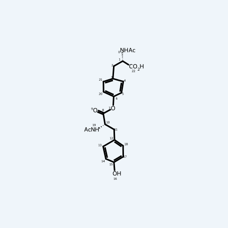 CC(=O)N[C@@H](Cc1ccc(OC(=O)[C@H](Cc2ccc(O)cc2)NC(C)=O)cc1)C(=O)O